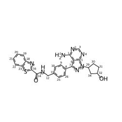 Nc1ncnc2c1c(-c1ccc(CNC(=O)c3nc4ccccc4s3)cc1)nn2C1CCC(O)C1